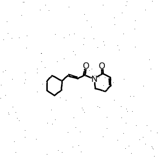 O=C1C=CCCN1C(=O)C=CC1CCCCC1